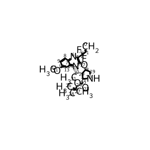 C=CC(F)(F)c1nc2ccc(OC)cc2nc1O[C@H]1CN[C@H](C(=O)OC(C)(C)C)[C@@H]1CC